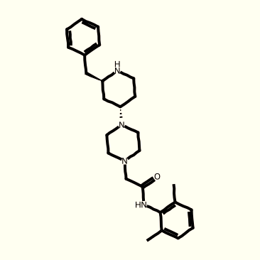 Cc1cccc(C)c1NC(=O)CN1CCN([C@H]2CCN[C@H](Cc3ccccc3)C2)CC1